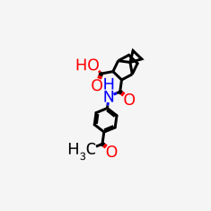 CC(=O)c1ccc(NC(=O)C2C(C(=O)O)C3CCC2C32CC2)cc1